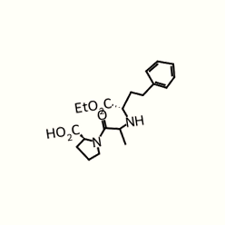 CCOC(=O)[C@H](CCc1ccccc1)NC(C)C(=O)N1CCC[C@H]1C(=O)O